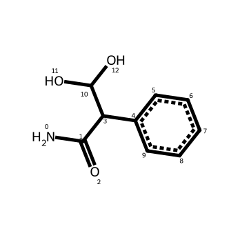 NC(=O)C(c1ccccc1)C(O)O